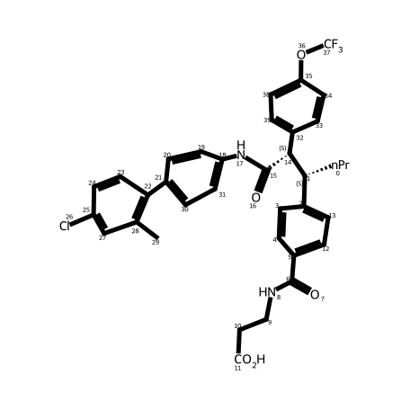 CCC[C@H](c1ccc(C(=O)NCCC(=O)O)cc1)[C@H](C(=O)Nc1ccc(-c2ccc(Cl)cc2C)cc1)c1ccc(OC(F)(F)F)cc1